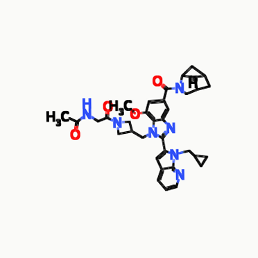 COc1cc(C(=O)N2CC3CC4CC2[C@H]43)cc2nc(-c3cc4cccnc4n3CC3CC3)n(CC3CN(C(=O)CNC(C)=O)C3)c12